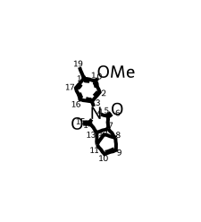 COc1cc(N2C(=O)C3C4C=CC(C4)C3C2=O)ccc1C